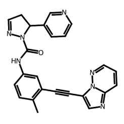 Cc1ccc(NC(=O)N2N=CCC2c2cccnc2)cc1C#Cc1cnc2cccnn12